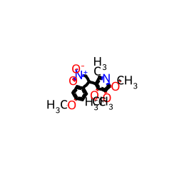 COc1ccc(C(C[N+](=O)[O-])c2c(C)nc(OC)c(OC)c2OC)cc1